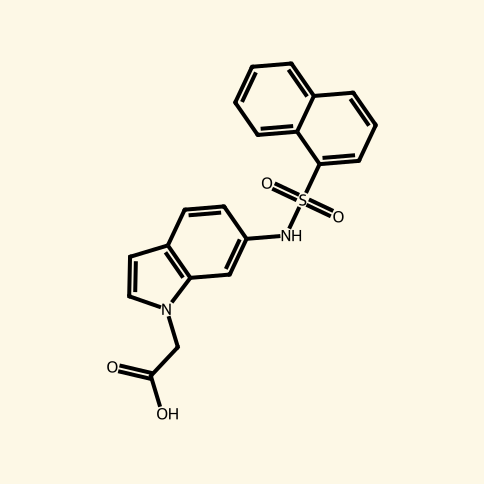 O=C(O)Cn1ccc2ccc(NS(=O)(=O)c3cccc4ccccc34)cc21